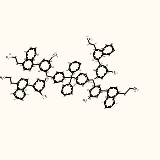 CCCc1ccc(-c2cc(C)cc(N(c3ccc(C(c4ccccc4)(c4ccccc4)c4ccc(N(c5cc(C)cc(-c6ccc(CCC)c7ccccc67)c5)c5cc(C)cc(-c6ccc(CCC)c7ccccc67)c5)cc4)cc3)c3cc(C)cc(-c4ccc(CCC)c5ccccc45)c3)c2)c2ccccc12